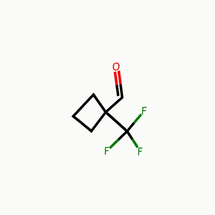 O=CC1(C(F)(F)F)CCC1